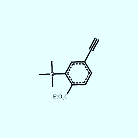 C#Cc1ccc(C(=O)OCC)c([Si](C)(C)C)c1